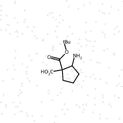 CC(C)(C)OC(=O)C1(C(=O)O)CCCC1N